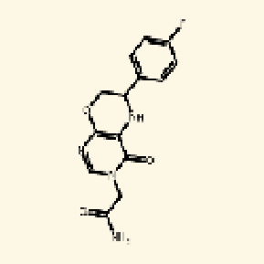 NC(=O)Cn1cnc2c(c1=O)NC(c1ccc(F)cc1)CO2